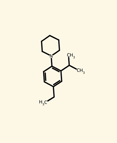 CCc1ccc(N2CCCCC2)c(C(C)C)c1